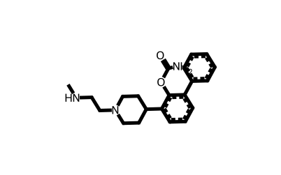 CNCCN1CCC(c2cccc(-c3ccccc3)c2OC(N)=O)CC1